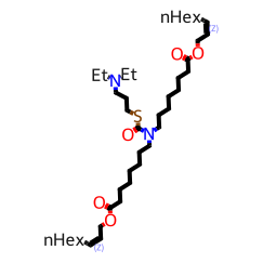 CCCCCC/C=C\COC(=O)CCCCCCCN(CCCCCCCC(=O)OC/C=C\CCCCCC)C(=O)SCCCN(CC)CC